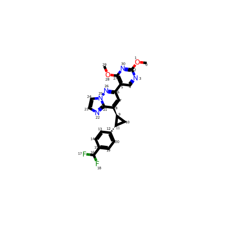 COc1ncc(-c2cc([C@H]3C[C@@H]3c3ccc(C(F)F)cc3)c3nccn3n2)c(OC)n1